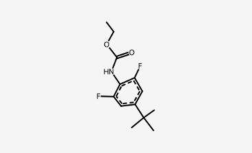 CCOC(=O)Nc1c(F)cc(C(C)(C)C)cc1F